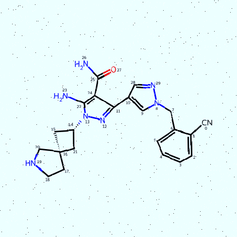 N#Cc1ccccc1Cn1cc(-c2nn([C@H]3C[C@@]4(CCNC4)C3)c(N)c2C(N)=O)cn1